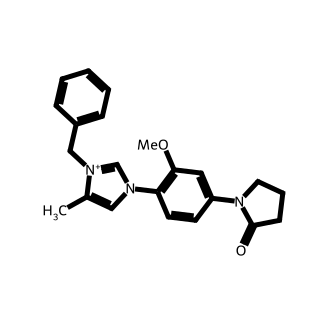 COc1cc(N2CCCC2=O)ccc1-n1cc(C)[n+](Cc2ccccc2)c1